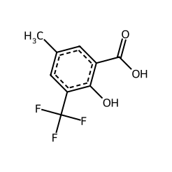 Cc1cc(C(=O)O)c(O)c(C(F)(F)F)c1